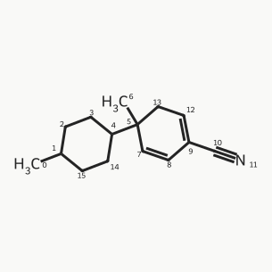 CC1CCC(C2(C)C=CC(C#N)=CC2)CC1